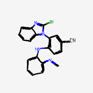 C=Nc1ccccc1Nc1ccc(C#N)cc1-n1c(Br)nc2ccccc21